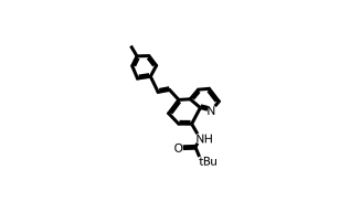 Cc1ccc(C=Cc2ccc(NC(=O)C(C)(C)C)c3ncccc23)cc1